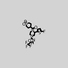 O=C(C1CCS(=O)(=O)CC1)N1CCN(c2nnc(C(F)(F)F)o2)CC1c1ccc(F)s1